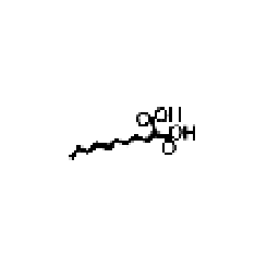 CCCCCCCCC=C(C(=O)O)C(=O)O